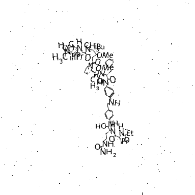 C=C(N[C@H](C(=O)N(C)[C@@H]([C@@H](C)CC)[C@@H](CC(=O)N1CCC[C@H]1[C@H](OC)[C@@H](C)C(=O)N[C@@H](Cc1ccccc1)C(=O)Nc1ccc(NCc2ccc(NC(O)[C@H](CCCNC(N)=O)NC(=O)C(NC(=O)CC)C(C)C)cc2)cc1)OC)C(C)C)[C@H](C(C)C)N(C)C